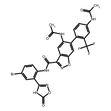 CC(=O)Nc1ccc(-c2cc3onc(C(=O)Nc4ccc(Br)cc4-c4noc(=O)[nH]4)c3cc2NC(C)=O)c(C(F)(F)F)c1